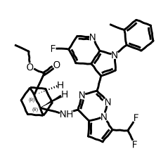 CCOC(=O)[C@@H]1C2CCC(CC2)[C@H]1Nc1nc(-c2cn(-c3ccccc3C)c3ncc(F)cc23)nn2c(C(F)F)ccc12